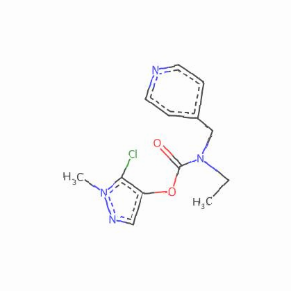 CCN(Cc1ccncc1)C(=O)Oc1cnn(C)c1Cl